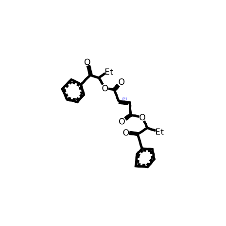 CCC(OC(=O)/C=C/C(=O)OC(CC)C(=O)c1ccccc1)C(=O)c1ccccc1